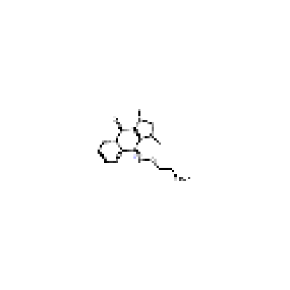 COCCO/N=C1\C2=C(C(=O)c3ccccc31)N(C)CN2C